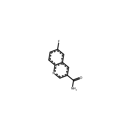 NC(=O)c1cnc2ccc(F)cc2c1